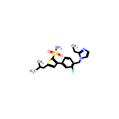 CCc1nccn1Cc1ccc(-c2cc(CC(C)C)sc2S(N)(=O)=O)cc1F